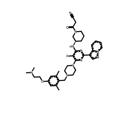 Cc1cc(OCCN(C)C)cc(C)c1CN1CCN(c2nc(-c3cnn4ccccc34)nc(N[C@@H]3CCCN(C(=O)CC#N)C3)c2F)CC1